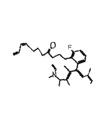 C=C/C=C\CCCC(=O)CCCc1c(F)cccc1C(=C\C(C)=C/C)/C(C)=C(\C)C(C)N(C)C=C